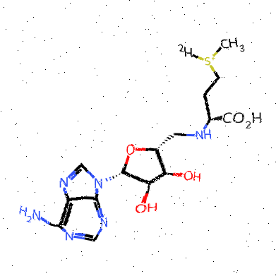 [2H][S+](C)CC[C@H](NC[C@H]1O[C@@H](n2cnc3c(N)ncnc32)[C@H](O)[C@@H]1O)C(=O)O